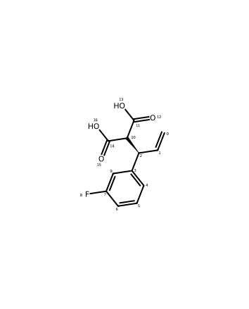 C=C[C@@H](c1cccc(F)c1)C(C(=O)O)C(=O)O